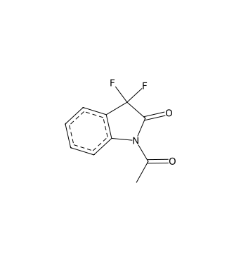 CC(=O)N1C(=O)C(F)(F)c2ccccc21